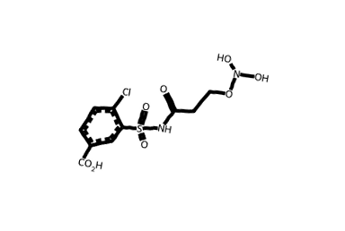 O=C(CCON(O)O)NS(=O)(=O)c1cc(C(=O)O)ccc1Cl